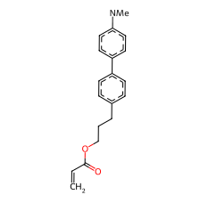 C=CC(=O)OCCCc1ccc(-c2ccc(NC)cc2)cc1